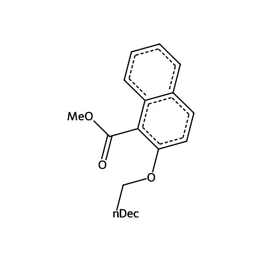 CCCCCCCCCCCOc1ccc2ccccc2c1C(=O)OC